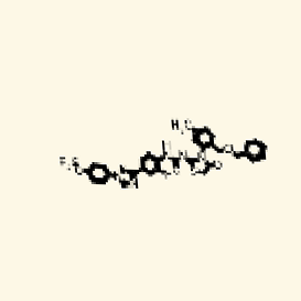 Cc1ccc(COCc2ccccc2)c(N2C(=O)CS/C2=N\C(=O)Nc2ccc(-c3ncn(-c4ccc(OC(F)(F)F)cc4)n3)cc2F)c1